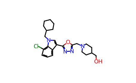 OCC1CCN(Cc2nnc(-c3cn(CC4CCCCC4)c4c(Cl)cccc34)o2)CC1